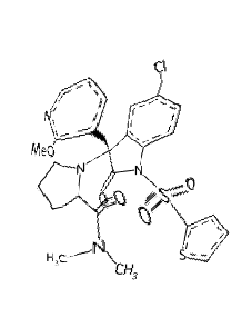 COc1ncccc1[C@]1(N2CCCC2C(=O)N(C)C)C(=O)N(S(=O)(=O)c2cccs2)c2ccc(Cl)cc21